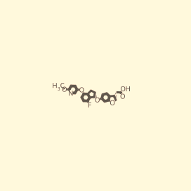 COc1ccc(Oc2ccc(F)c3c2CC[C@H]3Oc2ccc3c(c2)OC[C@H]3CC(=O)O)cn1